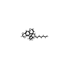 CCCCCCN1CC2(C=COc3cc4c(cc32)OCO4)c2ccccc21